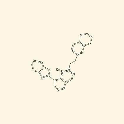 O=c1c2c(-c3cc4ccccc4o3)cccc2cnn1CCc1ccc2ccccc2n1